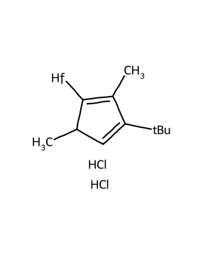 CC1=[C]([Hf])C(C)C=C1C(C)(C)C.Cl.Cl